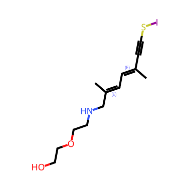 C/C(C#CSI)=C\C=C(/C)CNCCOCCO